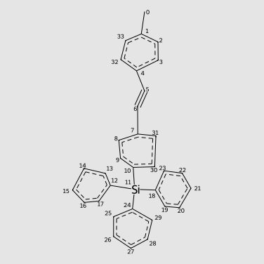 Cc1ccc(C#Cc2ccc([Si](c3ccccc3)(c3ccccc3)c3ccccc3)cc2)cc1